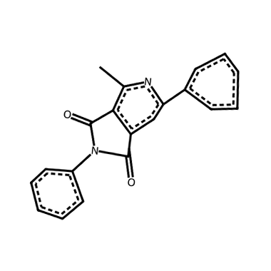 Cc1nc(-c2ccccc2)cc2c1C(=O)N(c1ccccc1)C2=O